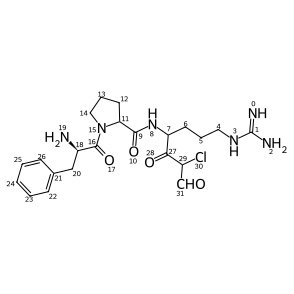 N=C(N)NCCCC(NC(=O)C1CCCN1C(=O)[C@H](N)Cc1ccccc1)C(=O)C(Cl)C=O